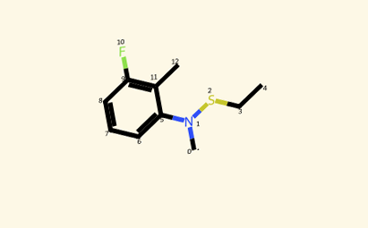 [CH2]N(SCC)c1cccc(F)c1C